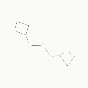 C1CC(SSSC2CCS2)S1